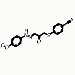 COc1ccc(NN=CC(=O)CSc2ccc(C#N)cc2)cc1